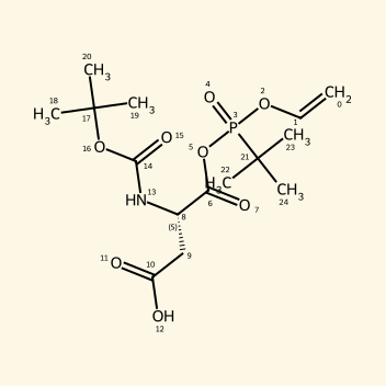 C=COP(=O)(OC(=O)[C@H](CC(=O)O)NC(=O)OC(C)(C)C)C(C)(C)C